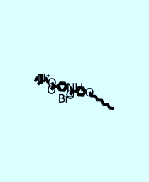 CCCCCCCCOc1ccc(C(=O)Nc2ccc(C(=O)OCC[N+](C)(CC)CC)cc2)cc1.[Br-]